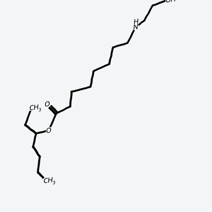 CCCCC(CC)OC(=O)CCCCCCCNCCO